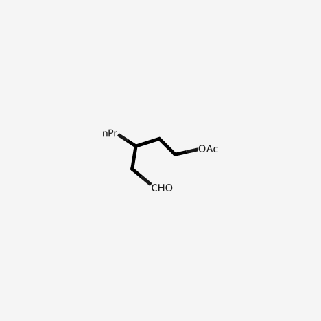 CCCC(CC=O)CCOC(C)=O